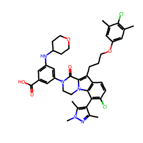 Cc1cc(OCCCc2c3n(c4c(-c5c(C)nn(C)c5C)c(Cl)ccc24)CCN(c2cc(NC4CCOCC4)cc(C(=O)O)c2)C3=O)cc(C)c1Cl